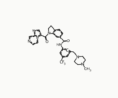 CN1CCN(Cc2cc(NC(=O)c3ccc4c(c3)N(C(=O)c3cnc5cnccn35)CC4)cc(C(F)(F)F)c2)CC1